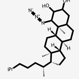 CC(C)CCC[C@@H](C)[C@H]1CC[C@H]2[C@@H]3CCC4CC(O)C(O)C(N=[N+]=[N-])[C@]4(C)[C@H]3CC[C@]12C